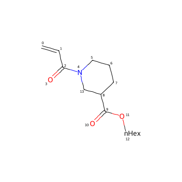 C=CC(=O)N1CCCC(C(=O)OCCCCCC)C1